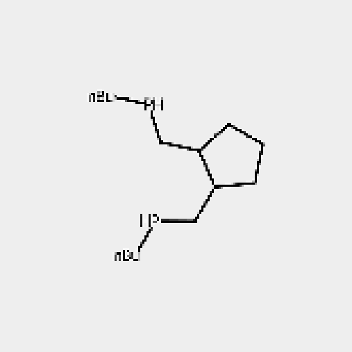 CCCCPCC1CCCC1CPCCCC